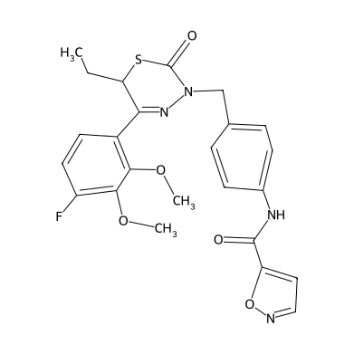 CCC1SC(=O)N(Cc2ccc(NC(=O)c3ccno3)cc2)N=C1c1ccc(F)c(OC)c1OC